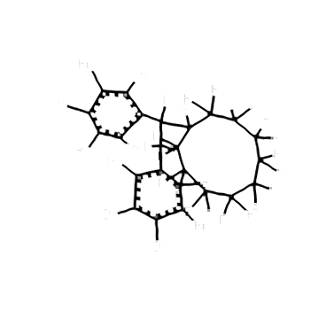 FC(F)(c1c(Br)c(Br)c(Br)c(Br)c1Br)C(F)(c1c(Br)c(Br)c(Br)c(Br)c1Br)C1(F)C(F)(F)C(F)(F)C(F)(F)C(F)(F)C(F)(F)C(F)(F)C(F)(F)C(F)(F)C1(F)F